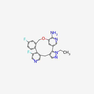 CCn1ncc2c1-c1cnc(N)c(c1)OCc1cc(F)ccc1-c1c(F)cncc1C2